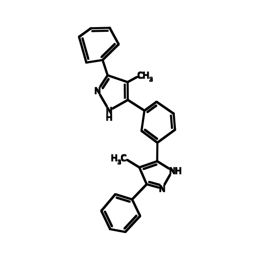 Cc1c(-c2ccccc2)n[nH]c1-c1cccc(-c2[nH]nc(-c3ccccc3)c2C)c1